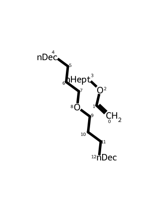 C=COCCCCCCC.CCCCCCCCCCCCCOCCCCCCCCCCCCC